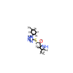 CC(=O)c1c(C)[nH]c(C(=O)CSc2nnnn2-c2cccc(C)c2)c1C